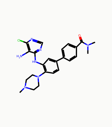 CN1CCN(c2ccc(-c3ccc(C(=O)N(C)C)cc3)cc2Nc2ncnc(Cl)c2N)CC1